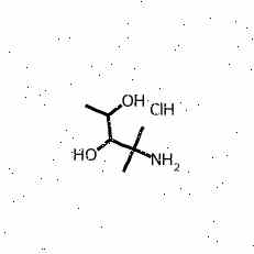 CC(O)C(O)C(C)(C)N.Cl